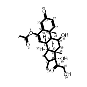 CC(=O)OC1=C[C@H]2[C@@H]3CC(C)[C@](O)(C(=O)CO)[C@@]3(C)CC(O)[C@]2(F)[C@@]2(C)C=CC(=O)C=C12